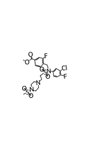 COC(=O)c1ccc(CN(c2ccc(F)c(Cl)c2)S(=O)(=O)CCN2CCN(S(C)(=O)=O)CC2)c(F)c1